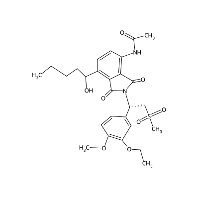 CCCCC(O)c1ccc(NC(C)=O)c2c1C(=O)N([C@H](CS(C)(=O)=O)c1ccc(OC)c(OCC)c1)C2=O